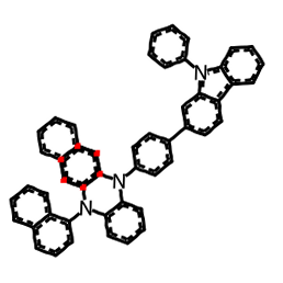 c1ccc(N(c2ccc(-c3ccc4c5ccccc5n(-c5ccccc5)c4c3)cc2)c2ccccc2N(c2ccc3ccccc3c2)c2cccc3ccccc23)cc1